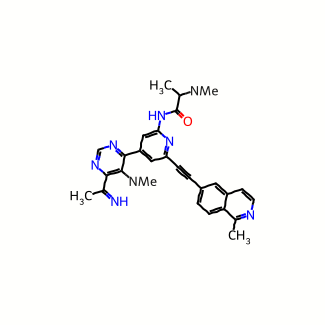 CNc1c(C(C)=N)ncnc1-c1cc(C#Cc2ccc3c(C)nccc3c2)nc(NC(=O)C(C)NC)c1